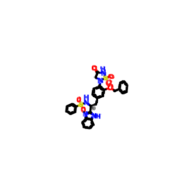 O=C1CN(c2ccc(C[C@H](NS(=O)(=O)c3ccccc3)c3nc4ccccc4[nH]3)cc2OCc2ccccc2)S(=O)(=O)N1